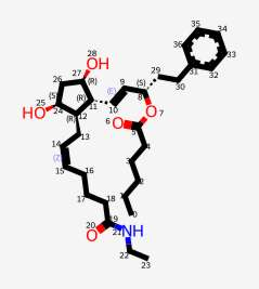 CCCCCC(=O)O[C@H](/C=C/[C@@H]1[C@@H](C/C=C\CCCC(=O)NCC)[C@@H](O)C[C@H]1O)CCc1ccccc1